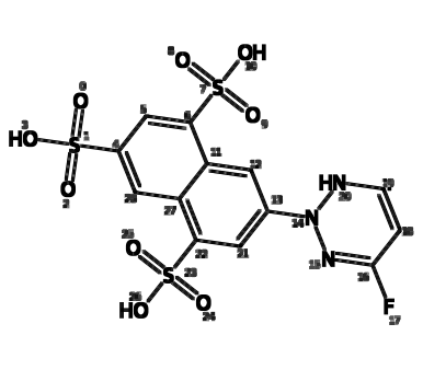 O=S(=O)(O)c1cc(S(=O)(=O)O)c2cc(N3N=C(F)C=[C]N3)cc(S(=O)(=O)O)c2c1